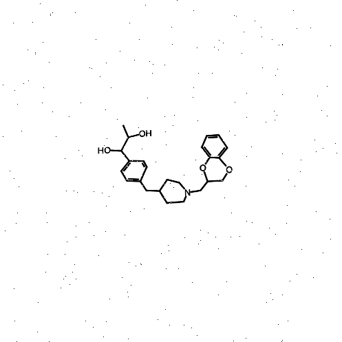 CC(O)C(O)c1ccc(CC2CCN(CC3COc4ccccc4O3)CC2)cc1